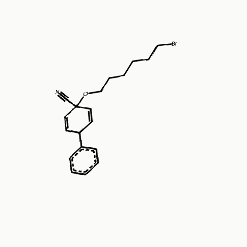 N#CC1(OCCCCCCBr)C=CC(c2ccccc2)C=C1